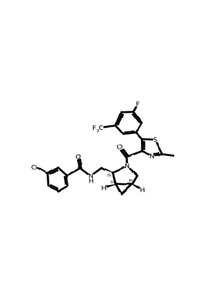 Cc1nc(C(=O)N2C[C@@H]3C[C@@H]3[C@H]2CNC(=O)c2cccc(Cl)c2)c(-c2cc(F)cc(C(F)(F)F)c2)s1